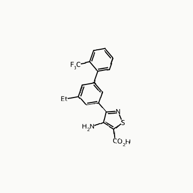 CCc1cc(-c2ccccc2C(F)(F)F)cc(-c2nsc(C(=O)O)c2N)c1